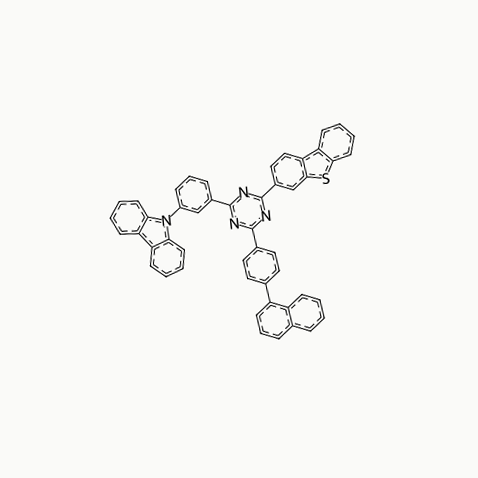 c1cc(-c2nc(-c3ccc(-c4cccc5ccccc45)cc3)nc(-c3ccc4c(c3)sc3ccccc34)n2)cc(-n2c3ccccc3c3ccccc32)c1